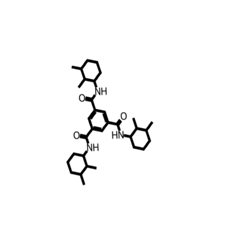 CC1CCCC(NC(=O)c2cc(C(=O)NC3CCCC(C)C3C)cc(C(=O)NC3CCCC(C)C3C)c2)C1C